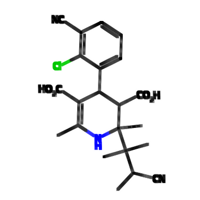 CC1=C(C(=O)O)C(c2cccc(C#N)c2Cl)C(C(=O)O)C(C)(C(C)(C)C(C)C#N)N1